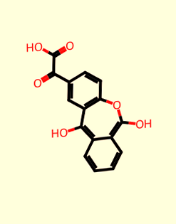 O=C(O)C(=O)c1ccc2c(c1)C(O)=c1ccccc1=C(O)O2